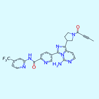 CC#CC(=O)N1CCC(c2nc(-c3ccc(C(=O)Nc4cc(C(F)(F)F)ccn4)nc3)n3c(N)nccc23)C1